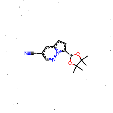 CC1(C)OB(c2ccc3cc(C#N)cnn23)OC1(C)C